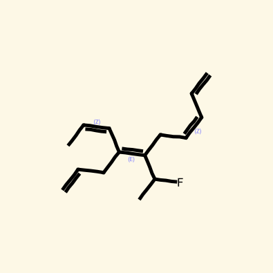 C=C/C=C\C/C(=C(\C=C/C)CC=C)C(C)F